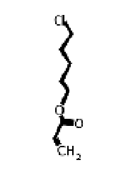 C=CC(=O)OCCCCCCl